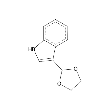 B1C=C(C2OCCO2)c2ccccc21